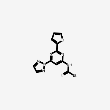 CCC(=O)Nc1cc(-n2nccn2)nc(-c2ccco2)n1